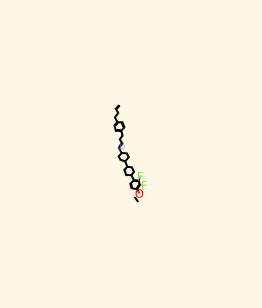 C=CCCc1ccc(CC/C=C/C2CCC(C3CCC(c4ccc(OCC)c(F)c4F)CC3)CC2)cc1